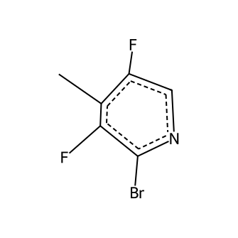 Cc1c(F)cnc(Br)c1F